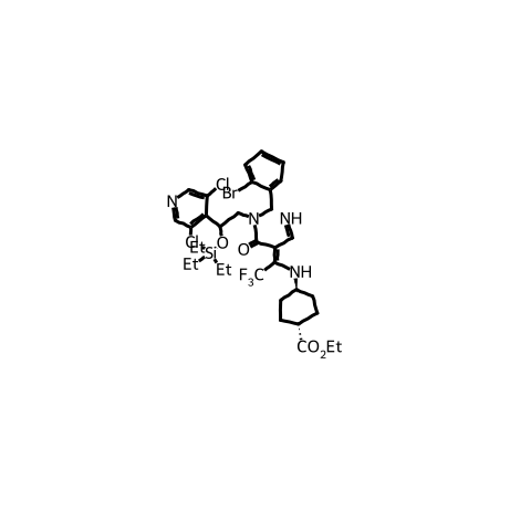 CCOC(=O)[C@H]1CC[C@H](N/C(=C(\C=N)C(=O)N(Cc2ccccc2Br)CC(O[Si](CC)(CC)CC)c2c(Cl)cncc2Cl)C(F)(F)F)CC1